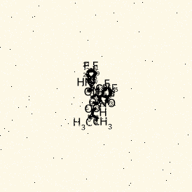 CCC(CC)C(=O)O[C@@H]1OC[C@H](N(C)C(=O)c2cc3cc(F)c(F)cc3[nH]2)c2c1[nH]c(=O)c1cc(F)c(F)cc21